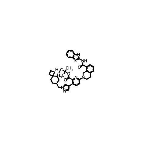 CC(C)(C)OC(=O)c1nc(N2CCc3cccc(C(=O)Nc4nc5ccccc5s4)c3C2)ccc1-c1cnn(CC2CCC3(CCC3)CC2)c1